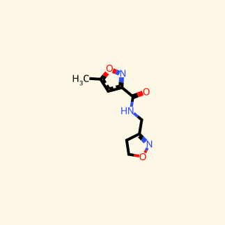 Cc1cc(C(=O)NCC2=NOCC2)no1